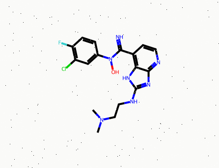 CN(C)CCNc1nc2nccc(C(=N)N(O)c3ccc(F)c(Cl)c3)c2[nH]1